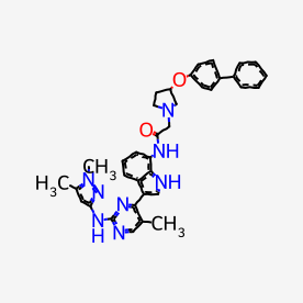 Cc1cnc(Nc2cc(C)n(C)n2)nc1-c1c[nH]c2c(NC(=O)CN3CCC(Oc4ccc(-c5ccccc5)cc4)C3)cccc12